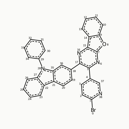 Brc1ccc(-c2nc3oc4ccccc4c3nc2-c2ccc3c4ccccc4n(-c4ccccc4)c3c2)cn1